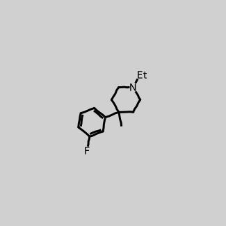 CCN1CCC(C)(c2cccc(F)c2)CC1